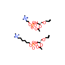 C=CCOC[C@@H](COP(=O)(O)OCCCCCC[N+](C)(C)C)OC(C)=O.C=CCOC[C@@H](COP(=O)(O)OCC[N+](C)(C)C)OC(C)=O